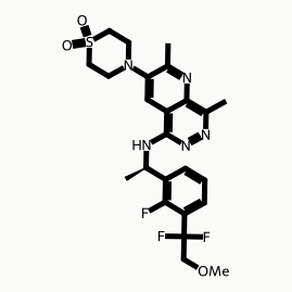 COCC(F)(F)c1cccc([C@@H](C)Nc2nnc(C)c3nc(C)c(N4CCS(=O)(=O)CC4)cc23)c1F